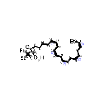 CC/C=C\C/C=C\C/C=C\C/C=C\C/C=C\CCCCS(=O)(=O)C(CC)(CC)C(=O)O